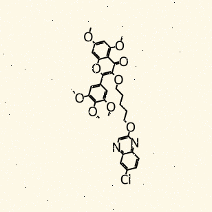 COc1cc(OC)c2c(=O)c(OCCCCCOc3cnc4cc(Cl)ccc4n3)c(-c3cc(OC)c(OC)c(OC)c3)oc2c1